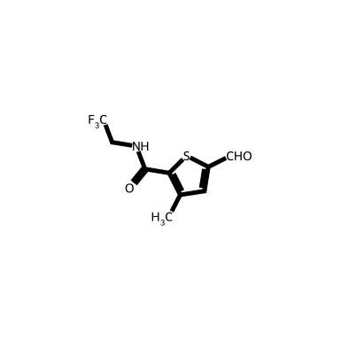 Cc1cc(C=O)sc1C(=O)NCC(F)(F)F